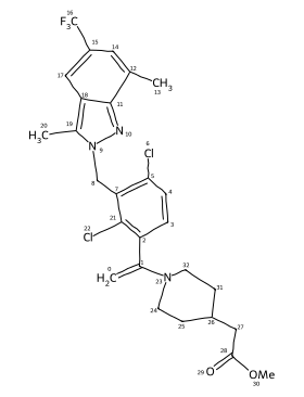 C=C(c1ccc(Cl)c(Cn2nc3c(C)cc(C(F)(F)F)cc3c2C)c1Cl)N1CCC(CC(=O)OC)CC1